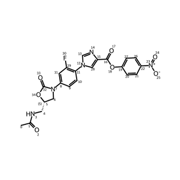 CC(=O)NC[C@H]1CN(c2ccc(-n3cnc(C(=O)Oc4ccc([N+](=O)[O-])cc4)c3)c(F)c2)C(=O)O1